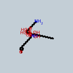 CCCCCCCCCCCCCC[C@@H](O)[C@@H](O)[C@H](COC1OC(COCCCCCCN)C(O)C(O)C1O)NC(=O)CCCCCCCCCCc1ccc(OC)cc1